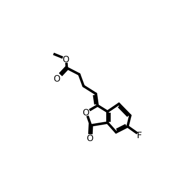 COC(=O)CCC=C1OC(=O)c2cc(F)ccc21